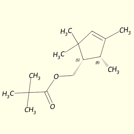 CC1=CC(C)(C)[C@@H](COC(=O)C(C)(C)C)[C@H]1C